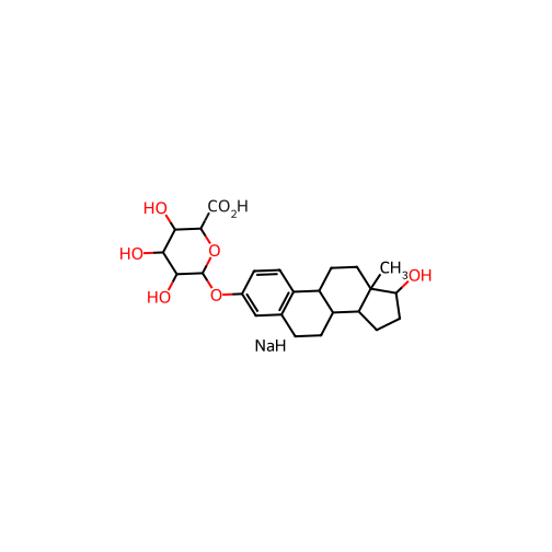 CC12CCC3c4ccc(OC5OC(C(=O)O)C(O)C(O)C5O)cc4CCC3C1CCC2O.[NaH]